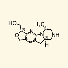 C[C@@H]1CNC[C@H]2Cc3cc4c(nc3N21)[C@H](CO)OC4